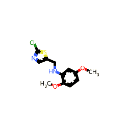 COc1ccc(OC)c(NCc2cnc(Cl)s2)c1